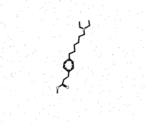 CCN(CC)CCCCCCc1ccc(CCC(=O)OC)cc1